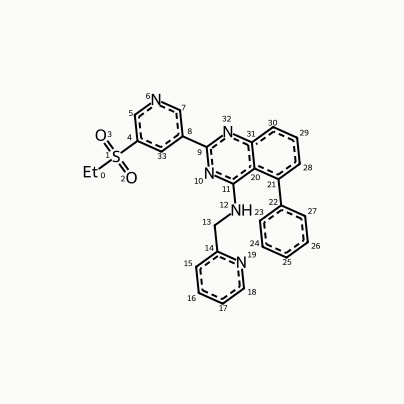 CCS(=O)(=O)c1cncc(-c2nc(NCc3ccccn3)c3c(-c4ccccc4)cccc3n2)c1